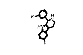 Fc1ccc2[nH]c3c(c2c1)CCNC3c1cccc(Br)c1